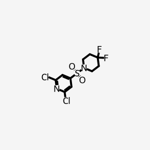 O=S(=O)(c1cc(Cl)nc(Cl)c1)N1CCC(F)(F)CC1